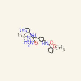 CNc1c(C(N)=O)c(-c2ccc(CNC(=O)c3ccccc3OC)cc2)nn1C1=CC=CNC1